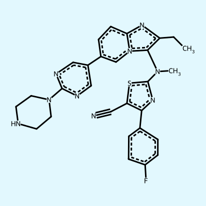 CCc1nc2ccc(-c3cnc(N4CCNCC4)nc3)cn2c1N(C)c1nc(-c2ccc(F)cc2)c(C#N)s1